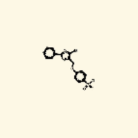 CCc1oc(-c2ccccc2)nc1COc1ccc(S(=O)(=O)Cl)cc1